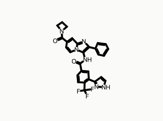 O=C(Nc1c(-c2ccccc2)nc2cc(C(=O)N3CCC3)ccn12)c1ccc(C(F)(F)F)c(-c2cc[nH]n2)c1